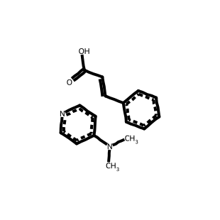 CN(C)c1ccncc1.O=C(O)C=Cc1ccccc1